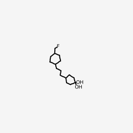 OC1(O)CCC(CCCC2CCC(CF)CC2)CC1